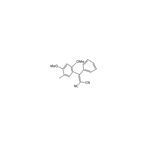 COc1cc(OC)c(C(=C(C#N)C#N)c2ccccc2)cc1C